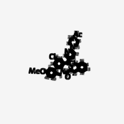 COc1ccc(CN2C(=O)C(Cc3ccccc3Cl)N=C(c3ccc(N4CCN(C(C)=O)CC4)nc3)c3cc(Cl)ccc32)cc1